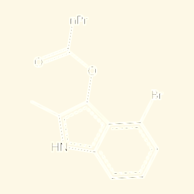 CCCC(=O)Oc1c(C)[nH]c2cccc(Br)c12